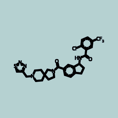 O=C(NC1CCc2ccc(C(=O)N3CCC4(CCN(Cc5csnn5)CC4)C3)cc21)c1cc(C(F)(F)F)ccc1Cl